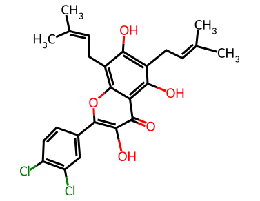 CC(C)=CCc1c(O)c(CC=C(C)C)c2oc(-c3ccc(Cl)c(Cl)c3)c(O)c(=O)c2c1O